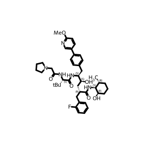 COc1ccc(-c2ccc(C[C@H](NC(=O)[C@@H](NC(=O)CN3CCCC3)C(C)(C)C)[C@@H](O)C[C@@H](Cc3ccccc3F)C(=O)N[C@H]3[C@H](C)CCC[C@H]3O)cc2)cn1